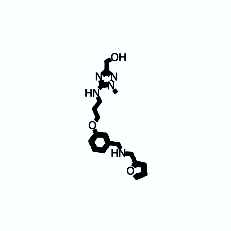 Cn1nc(CO)nc1NCCCOc1cccc(CNCc2ccco2)c1